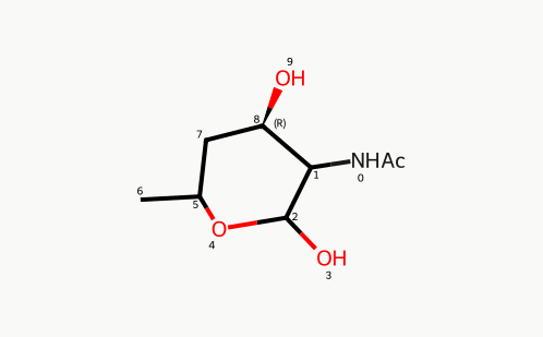 CC(=O)NC1C(O)OC(C)C[C@H]1O